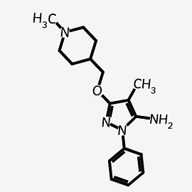 Cc1c(OCC2CCN(C)CC2)nn(-c2ccccc2)c1N